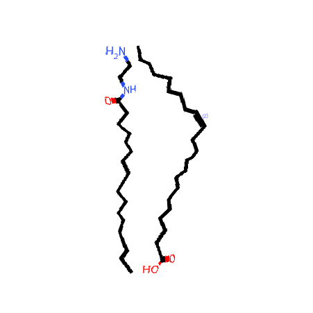 CCCCCCCC/C=C\CCCCCCCCCCCC(=O)O.CCCCCCCCCCCCCCCC(=O)NCCN